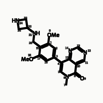 COc1cc(-c2cn(C)c(=O)c3cncnc23)cc(OC)c1CNC1CNC1